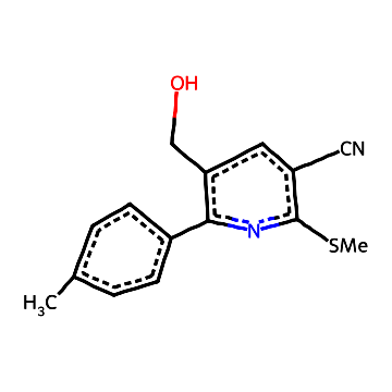 CSc1nc(-c2ccc(C)cc2)c(CO)cc1C#N